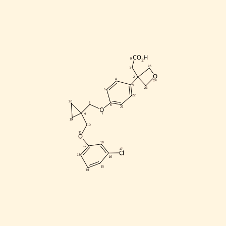 O=C(O)CC1(c2ccc(OCC3(COc4cccc(Cl)c4)CC3)cc2)COC1